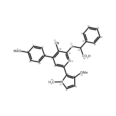 COc1ccc(-c2cc(-c3c(OC)ccn3C)nc(SC(C(=O)O)c3ccccc3)c2C#N)cc1